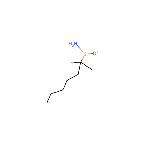 CCCCCC(C)(C)[S+](N)[O-]